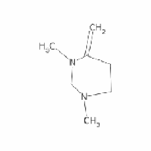 C=C1CCN(C)CN1C